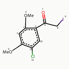 COc1cc(OC)c(C(=O)CI)cc1Cl